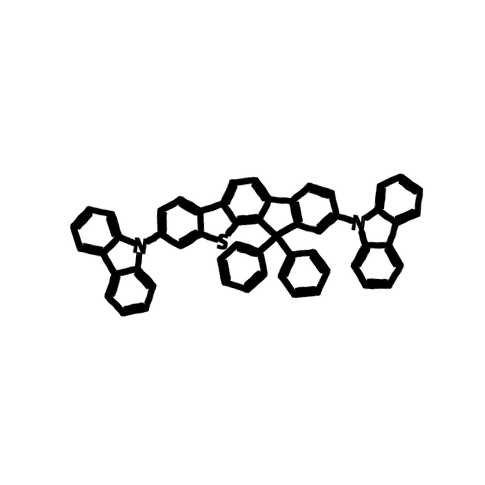 c1ccc(C2(c3ccccc3)c3cc(-n4c5ccccc5c5ccccc54)ccc3-c3ccc4c(sc5cc(-n6c7ccccc7c7ccccc76)ccc54)c32)cc1